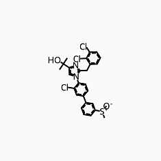 C[S+]([O-])c1cccc(-c2ccc(-n3cc(C(C)(C)O)nc3Cc3cccc(Cl)c3Cl)c(Cl)c2)c1